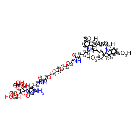 COCC[N+]1=C(/C=C/C=C/C=C2/N(CCCCCC(=O)NCCOCCOCCOCCOCCC(=O)NCCCc3cn([C@@H]4O[C@H](COP(=O)(O)O)C(OP(=O)(O)O)[C@@H]4O)c(=O)nc3N)c3ccc(S(=O)(=O)O)cc3C2(C)CCCS(=O)(=O)O)C(C)(CCCS(=O)(=O)O)c2cc(S(=O)(=O)O)ccc21